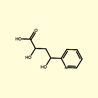 O=C(O)C(O)CC(O)c1ccccn1